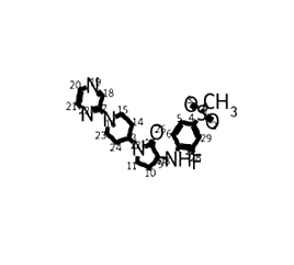 CS(=O)(=O)c1ccc(N[C@H]2CCN(C3CCN(c4cnccn4)CC3)C2=O)c(F)c1